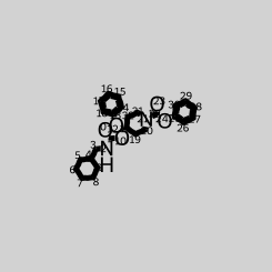 O=C(NCC1CCCCC1)OC1(Oc2ccccc2)CCN(C(=O)Oc2ccccc2)CC1